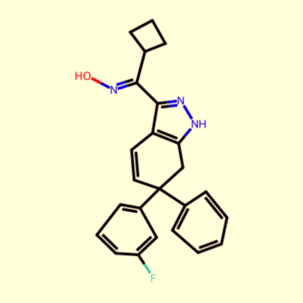 ON=C(c1n[nH]c2c1C=CC(c1ccccc1)(c1cccc(F)c1)C2)C1CCC1